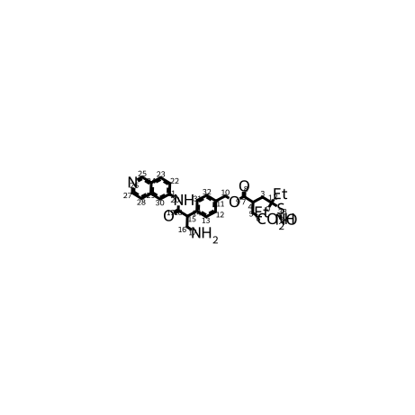 CCC(CC)(CC(CC(=O)O)C(=O)OCc1ccc(C(CN)C(=O)Nc2ccc3cnccc3c2)cc1)SN=O